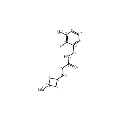 CC(C)(C)N1CC(NCC(=O)NCc2cccc(Cl)c2F)C1